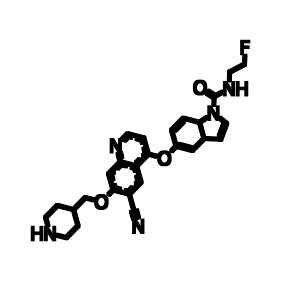 N#Cc1cc2c(OC3=CC4C=CN(C(=O)NCCF)C4C=C3)ccnc2cc1OCC1CCNCC1